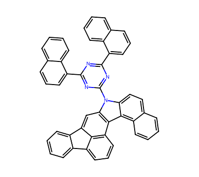 c1ccc2c(c1)-c1cccc3c1c-2cc1c3c2c3ccccc3ccc2n1-c1nc(-c2cccc3ccccc23)nc(-c2cccc3ccccc23)n1